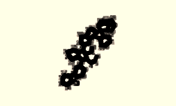 C=Cc1c(/C=C\C)c(-c2ccc3sc4ccccc4c3c2)c2ccccc2c1-c1ccc2ccc3c(c2c1)-c1ccccc1C31C2CC3CC(C2)CC1C3